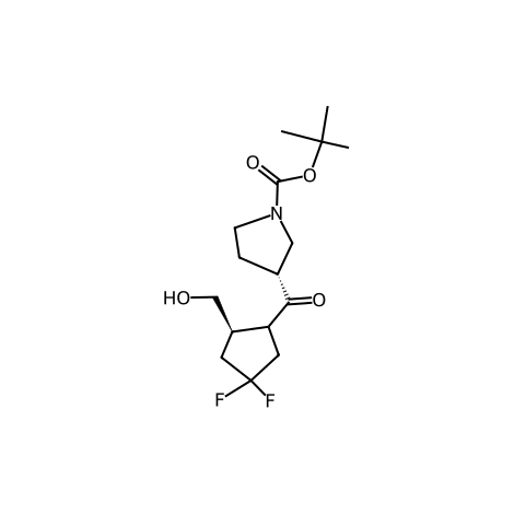 CC(C)(C)OC(=O)N1CC[C@@H](C(=O)C2CC(F)(F)C[C@H]2CO)C1